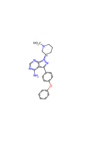 Nc1ncnc2c1c(-c1ccc(Oc3ccccc3)cc1)nn2[C@@H]1CCCN(C(=O)O)C1